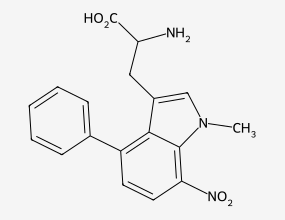 Cn1cc(CC(N)C(=O)O)c2c(-c3ccccc3)ccc([N+](=O)[O-])c21